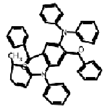 CC1C=C(N(c2ccccc2)c2cc(C(=O)c3ccccc3)c(N(c3ccccc3)c3ccccc3)cc2C(=O)c2ccccc2)C=CC1